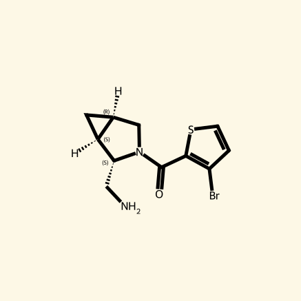 NC[C@@H]1[C@H]2C[C@H]2CN1C(=O)c1sccc1Br